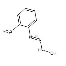 O=S(=O)(O)c1ccccc1/N=N/NO